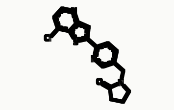 O=C1CCCN1Cc1ccc(-c2cc3nccc(Cl)c3s2)nc1